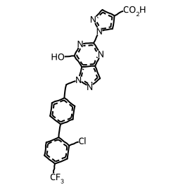 O=C(O)c1cnn(-c2nc(O)c3c(cnn3Cc3ccc(-c4ccc(C(F)(F)F)cc4Cl)cc3)n2)c1